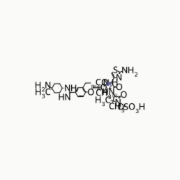 CC1(C)[C@H](NC(=O)/C(=N\O[C@](C)(C(=O)O)[C@H]2CCc3cc(C(=N)N[C@H]4CC[C@](C)(N)CC4)ccc3O2)c2csc(N)n2)C(=O)N1OS(=O)(=O)O